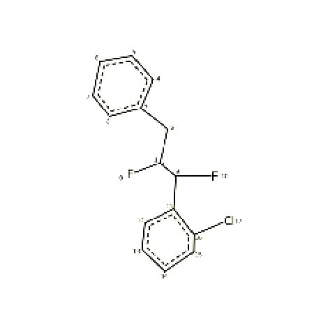 F[C](Cc1ccccc1)C(F)c1ccccc1Cl